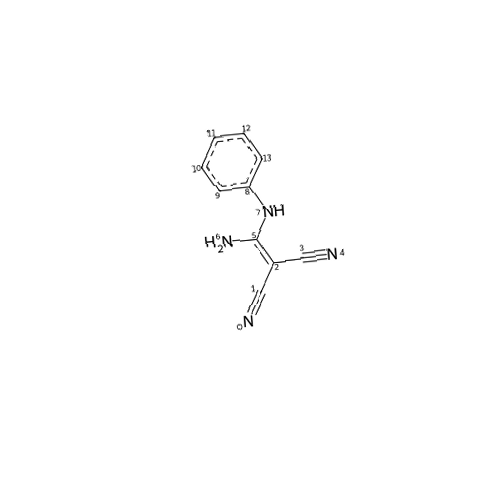 N#CC(C#N)=C(N)Nc1ccccc1